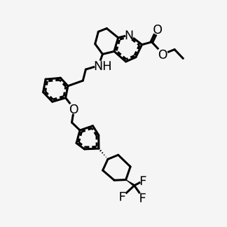 CCOC(=O)c1ccc2c(n1)CCCC2NCCc1ccccc1OCc1ccc([C@H]2CC[C@H](C(F)(F)F)CC2)cc1